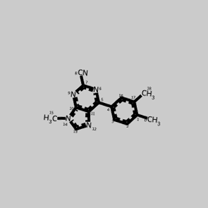 Cc1ccc(-c2nc(C#N)nc3c2ncn3C)cc1C